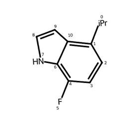 CC(C)c1ccc(F)c2[nH]ccc12